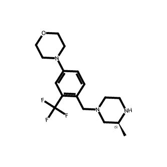 C[C@H]1CN(Cc2ccc(N3CCOCC3)cc2C(F)(F)F)CCN1